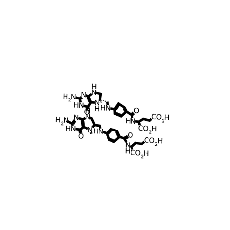 CN1c2c(nc(N)[nH]c2=O)NCC1CNc1ccc(C(=O)NC(CCC(=O)O)C(=O)O)cc1.Nc1nc2c(c(=O)[nH]1)N[C@@H](CNc1ccc(C(=O)NC(CCC(=O)O)C(=O)O)cc1)CN2